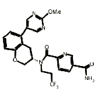 COc1ncc(-c2cccc3c2C[C@H](N(CCC(F)(F)F)C(=O)c2ccc(C(N)=O)cn2)CO3)cn1